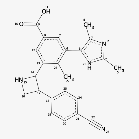 Cc1nc(C)c(-c2cc(C(=O)O)cc(C3NCC3c3ccc(C#N)cc3)c2C)[nH]1